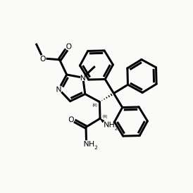 COC(=O)c1ncc([C@@H]([C@@H](N)C(N)=O)C(c2ccccc2)(c2ccccc2)c2ccccc2)n1C